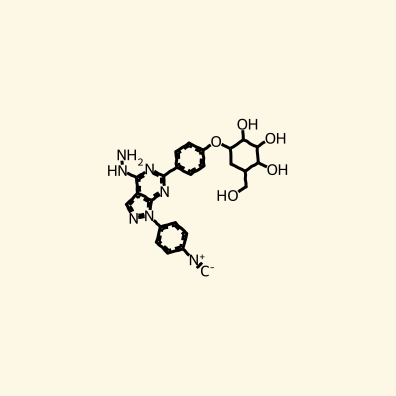 [C-]#[N+]c1ccc(-n2ncc3c(NN)nc(-c4ccc(OC5CC(CO)C(O)C(O)C5O)cc4)nc32)cc1